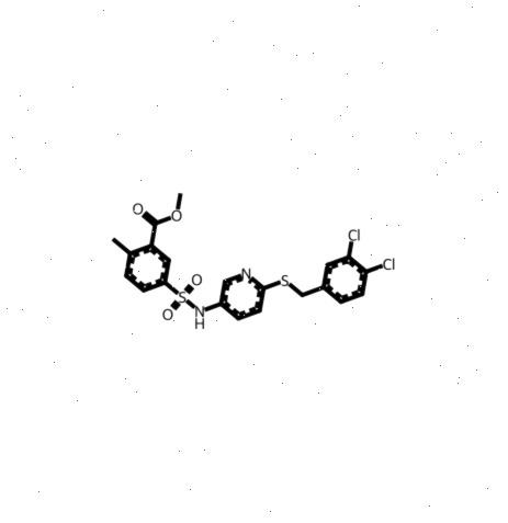 COC(=O)c1cc(S(=O)(=O)Nc2ccc(SCc3ccc(Cl)c(Cl)c3)nc2)ccc1C